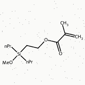 C=C(C)C(=O)OCC[Si](CCC)(CCC)OC